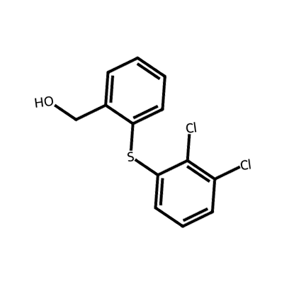 OCc1ccccc1Sc1cccc(Cl)c1Cl